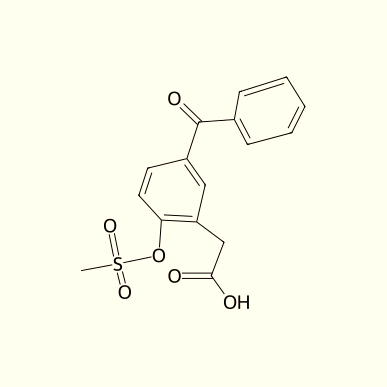 CS(=O)(=O)Oc1ccc(C(=O)c2ccccc2)cc1CC(=O)O